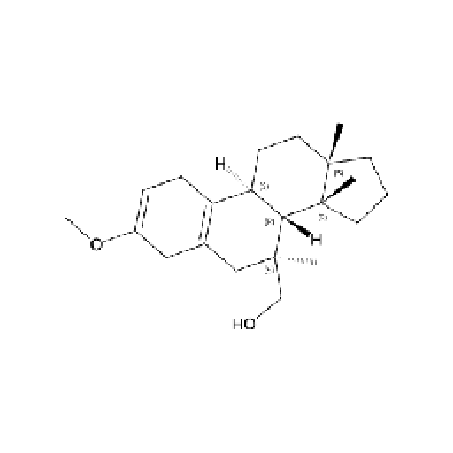 COC1=CCC2=C(C1)C[C@](C)(CO)[C@@H]1[C@@H]2CC[C@]2(C)CCC[C@]12C